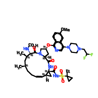 CCC1(S(=O)(=O)NC(=O)[C@@]23C[C@H]2C=CCC[C@@H](C)C[C@@H](C)[C@H](NC(=O)O)C(=O)N2C[C@H](Oc4ncc(N5CCN(CC(F)F)CC5)c5cc(OC)ccc45)C[C@H]2C(=O)N3)CC1